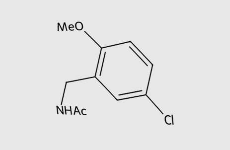 COc1ccc(Cl)cc1CNC(C)=O